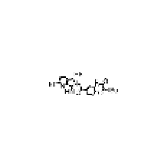 Br.CCc1ccc2c(n1)C(=N)N(CC(=O)c1ccc3c(c1)N(C)C(=O)C(C(C)(C)C)O3)C2